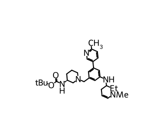 CCC(C/C=C\NC)Nc1cc(CN2CCC[C@H](NC(=O)OC(C)(C)C)C2)cc(-c2ccc(C)nc2)c1